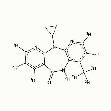 [2H]c1nc2c(c([2H])c1[2H])C(=O)N([2H])c1c(nc([2H])c([2H])c1C([2H])([2H])[2H])N2C1CC1